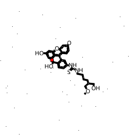 COCC(CO)CCCCNC(=S)Nc1ccc(C(=O)O)c(-c2c3ccc(=O)cc-3oc3cc(O)ccc23)c1